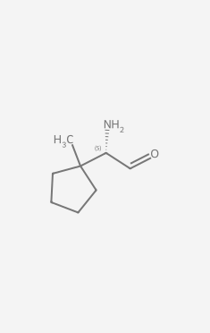 CC1([C@H](N)C=O)CCCC1